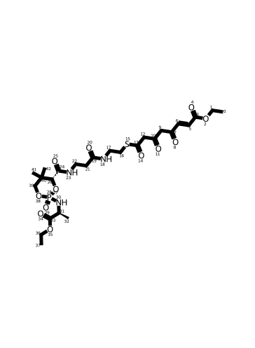 CCOC(=O)/C=C/C(=O)CC(=O)CC(=O)SCCNC(=O)CCNC(=O)[C@@H]1OP(=O)(N[C@@H](C)C(=O)OCC)OCC1(C)C